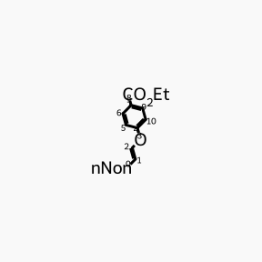 CCCCCCCCCC=COc1ccc(C(=O)OCC)cc1